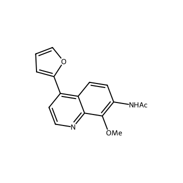 COc1c(NC(C)=O)ccc2c(-c3ccco3)ccnc12